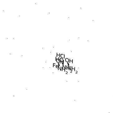 Cl.NO.NO.NO.[Fe]